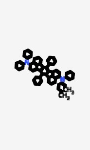 C=C/C=C\C(=C/C)N(c1ccccc1)c1ccc2c3c(-c4ccccc4)c4c5cccc6c(N(c7ccccc7)c7ccccc7)ccc(c4c(-c4ccccc4)c3c3cccc1c23)c65